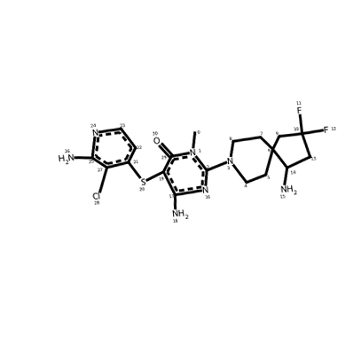 Cn1c(N2CCC3(CC2)CC(F)(F)CC3N)nc(N)c(Sc2ccnc(N)c2Cl)c1=O